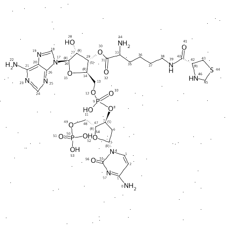 Nc1ccn([C@H]2C[C@H](OP(=O)(O)OC[C@H]3O[C@@H](n4cnc5c(N)ncnc54)[C@H](O)[C@@H]3OC(=O)C(N)CCCCNC(=O)[C@@H]3CSCN3)[C@@H](COP(=O)(O)O)O2)c(=O)n1